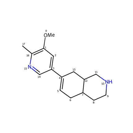 COc1cc(C2=CCC3CCNCC3C2)cnc1C